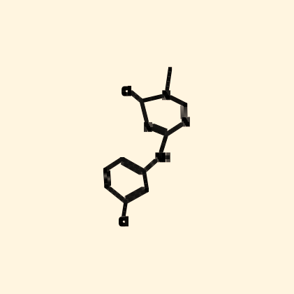 CN1C=NC(Nc2cccc(Cl)c2)=NC1Cl